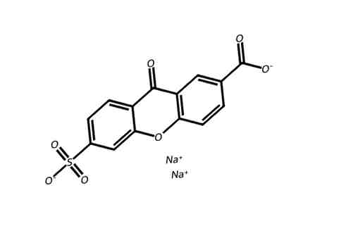 O=C([O-])c1ccc2oc3cc(S(=O)(=O)[O-])ccc3c(=O)c2c1.[Na+].[Na+]